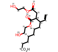 C=CC(CCCCCCC(=O)O)C(CC(=O)OCCO)C(=O)OCCO